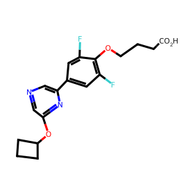 O=C(O)CCCOc1c(F)cc(-c2cncc(OC3CCC3)n2)cc1F